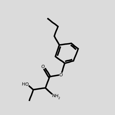 CCCc1cccc(OC(=O)C(N)C(C)O)c1